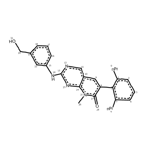 CCCc1cccc(CCC)c1-c1cc2cnc(Nc3cccc(CO)c3)nc2n(C)c1=O